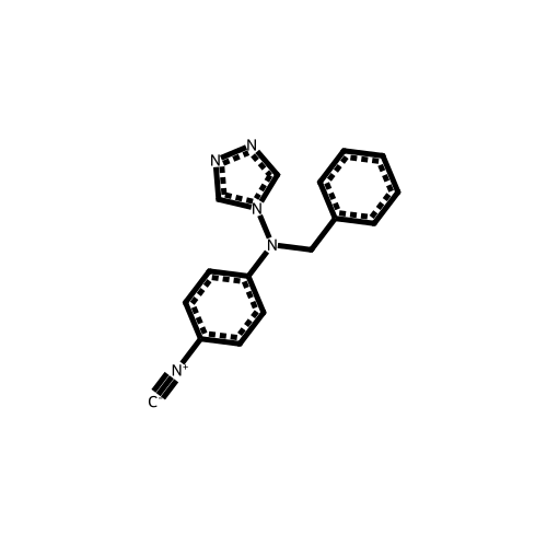 [C-]#[N+]c1ccc(N(Cc2ccccc2)n2cnnc2)cc1